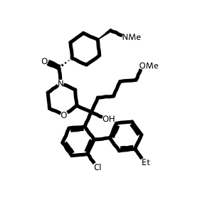 CCc1cccc(-c2c(Cl)cccc2C(O)(CCCCOC)C2CN(C(=O)[C@H]3CC[C@H](CNC)CC3)CCO2)c1